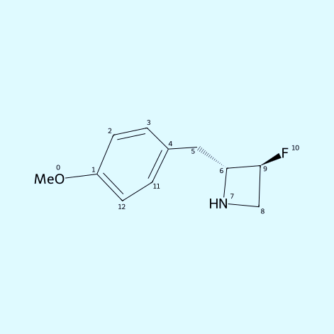 COc1ccc(C[C@H]2NC[C@@H]2F)cc1